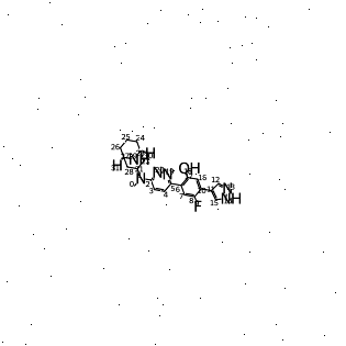 CN(c1ccc(-c2cc(F)c(-c3cn[nH]c3)cc2O)nn1)C1C[C@H]2CCC[C@@H](C1)N2